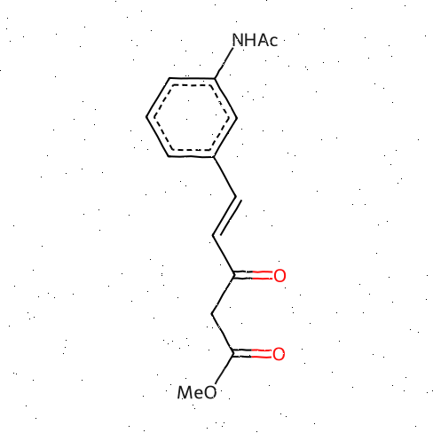 COC(=O)CC(=O)C=Cc1cccc(NC(C)=O)c1